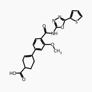 COc1cc(C2=CCC(C(=O)O)CC2)ccc1C(=O)Nc1nnc(-c2cccs2)o1